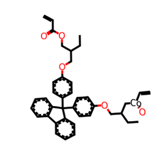 C=CC(=O)OCC(CC)COc1ccc(C2(c3ccc(OCC(CC)[CH2][Co](=[O])[CH]=C)cc3)c3ccccc3-c3ccccc32)cc1